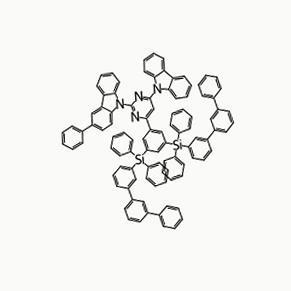 c1ccc(-c2cccc(-c3cccc([Si](c4ccccc4)(c4ccccc4)c4cc(-c5cc(-n6c7ccccc7c7ccccc76)nc(-n6c7ccccc7c7cc(-c8ccccc8)ccc76)n5)cc([Si](c5ccccc5)(c5ccccc5)c5cccc(-c6cccc(-c7ccccc7)c6)c5)c4)c3)c2)cc1